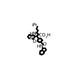 CC(C)CCCc1nc2c(c(-c3ccc(C(=O)N[C@@H]4CCc5ccccc54)cc3)c1C(=O)O)C(=O)N1CCC[C@@H]21